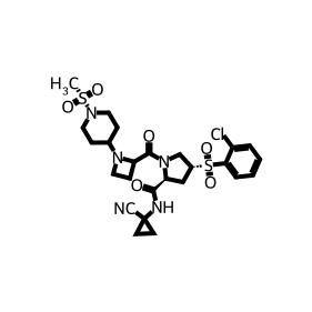 CS(=O)(=O)N1CCC(N2CCC2C(=O)N2C[C@H](S(=O)(=O)c3ccccc3Cl)C[C@H]2C(=O)NC2(C#N)CC2)CC1